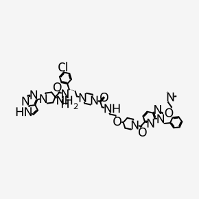 CN(C)CCOc1ccccc1Cn1cnc2ccc(C(=O)N3CCC(OCCNCC(=O)N4CCN(CC[C@H](NC(=O)C5(N)CCN(c6ncnc7[nH]ccc67)CC5)c5ccc(Cl)cc5)CC4)CC3)nc21